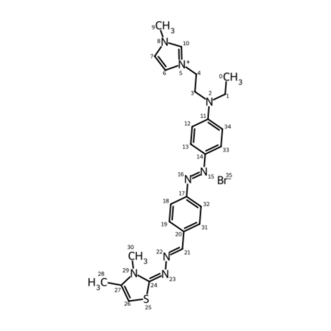 CCN(CC[n+]1ccn(C)c1)c1ccc(N=Nc2ccc(C=NN=c3scc(C)n3C)cc2)cc1.[Br-]